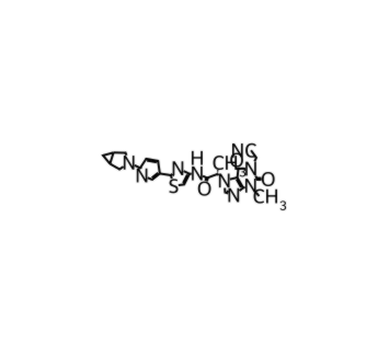 C[C@@H](C(=O)Nc1csc(-c2ccc(N3CC4CC4C3)nc2)n1)n1cnc2c1c(=O)n(CC#N)c(=O)n2C